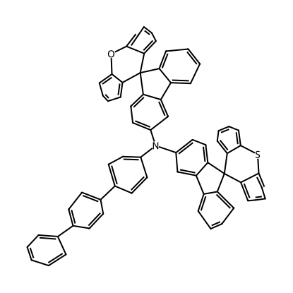 c1ccc(-c2ccc(-c3ccc(N(c4ccc5c(c4)-c4ccccc4C54c5ccccc5Oc5ccccc54)c4ccc5c(c4)-c4ccccc4C54c5ccccc5Sc5ccccc54)cc3)cc2)cc1